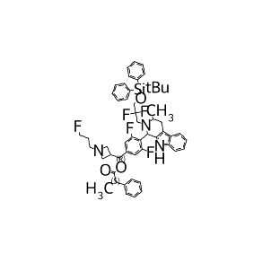 CC1Cc2c([nH]c3ccccc23)C(c2c(F)cc([C@H](OC(=O)[C@@H](C)c3ccccc3)C3CN(CCCF)C3)cc2F)N1CC(F)(F)CO[Si](c1ccccc1)(c1ccccc1)C(C)(C)C